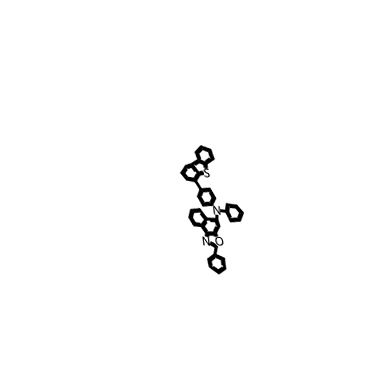 c1ccc(-c2nc3c(cc(N(c4ccccc4)c4ccc(-c5cccc6c5sc5ccccc56)cc4)c4ccccc43)o2)cc1